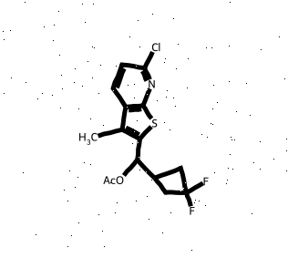 CC(=O)OC(c1sc2nc(Cl)ccc2c1C)C1CC(F)(F)C1